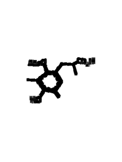 COc1c(CC(C)C(=O)O)cc(C)c(O)c1C